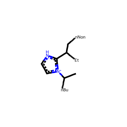 CCCCCCCCCCC(CC)c1[nH]cc[n+]1C(C)CCCC